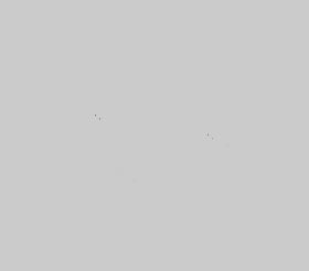 CC1=C(C(=O)O)C(c2cccc([N+](=O)[O-])c2)C(C(=O)Cl)=C(C)N1